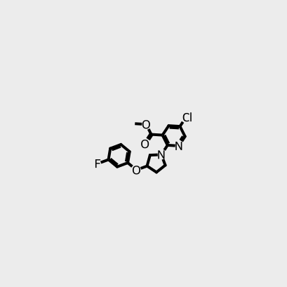 COC(=O)c1cc(Cl)cnc1N1CCC(Oc2cccc(F)c2)C1